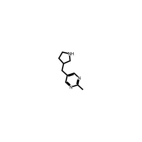 Cc1ncc(CC2CCNC2)cn1